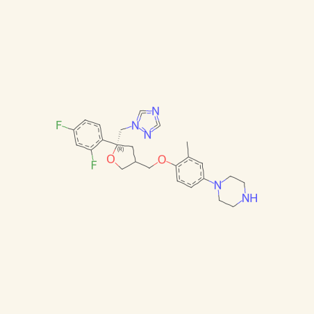 Cc1cc(N2CCNCC2)ccc1OCC1CO[C@@](Cn2cncn2)(c2ccc(F)cc2F)C1